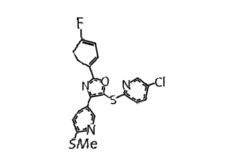 CSc1ccc(-c2nc(C3=CC=C(F)CC3)oc2Sc2ccc(Cl)cn2)cn1